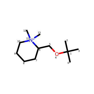 CC(C)(C)OCC1CCCC[N+]1(C)C